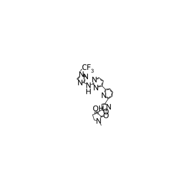 CN1CC[C@@](O)(c2cc(-c3cccc(-c4ccnc(Nc5ncn(CC(F)(F)F)n5)n4)n3)no2)C1=O